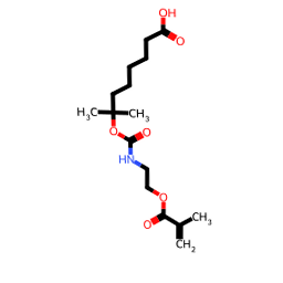 C=C(C)C(=O)OCCNC(=O)OC(C)(C)CCCCCC(=O)O